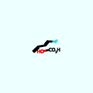 C=CC=CF.O=C(O)O